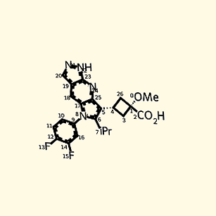 CO[C@]1(C(=O)O)C[C@H](c2c(C(C)C)n(-c3ccc(F)c(F)c3)c3cc4cn[nH]c4nc32)C1